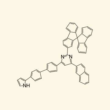 c1c[nH]c(-c2ccc(-c3ccc(-c4cc(-c5ccc6ccccc6c5)nc(-c5ccc6c(c5)C5(c7ccccc7-c7ccccc75)c5ccccc5-6)n4)cc3)cc2)c1